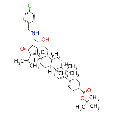 CC(C)C1=C2[C@H]3CC[C@@H]4[C@@]5(C)CC=C(C6=CCC(C(=O)OC(C)(C)C)CC6)C(C)(C)[C@@H]5CC[C@@]4(C)[C@]3(C)CC[C@@]2([C@@H](O)CNCc2ccc(Cl)cc2)CC1=O